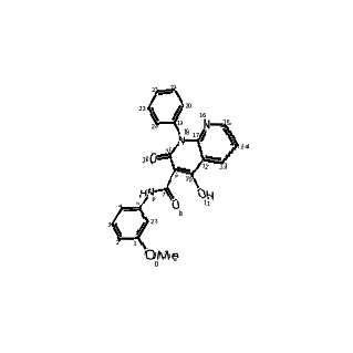 COc1cccc(NC(=O)c2c(O)c3cccnc3n(-c3ccccc3)c2=O)c1